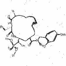 CCCC1CCCC/C=C/CC(C(=O)N(C)Cc2ccc(OC)cc2OC)C[C@@H](C(O)P(=O)(OCC)OCC)NC(=O)[C@H](CC(C)C)NC1=O